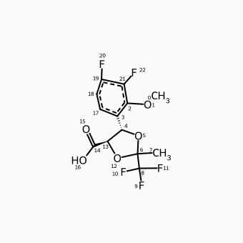 COc1c([C@@H]2OC(C)(C(F)(F)F)O[C@H]2C(=O)O)ccc(F)c1F